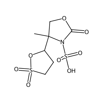 CC1(C2CCS(=O)(=O)O2)COC(=O)N1S(=O)(=O)O